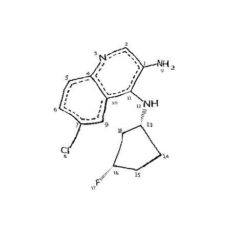 Nc1cnc2ccc(Cl)cc2c1N[C@@H]1CC[C@H](F)C1